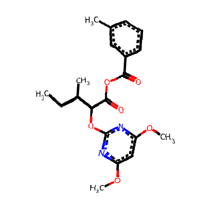 CCC(C)C(Oc1nc(OC)cc(OC)n1)C(=O)OC(=O)c1cccc(C)c1